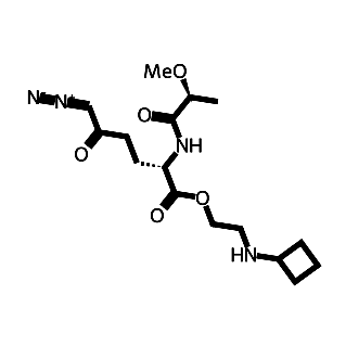 CO[C@@H](C)C(=O)N[C@@H](CCC(=O)C=[N+]=[N-])C(=O)OCCNC1CCC1